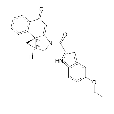 CCCOc1ccc2[nH]c(C(=O)N3C[C@H]4C[C@@]45C3=CC(=O)c3ccccc35)cc2c1